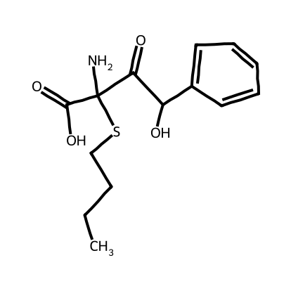 CCCCSC(N)(C(=O)O)C(=O)C(O)c1ccccc1